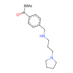 CNC(=O)c1ccc(CNCCCN2CCCC2)cc1